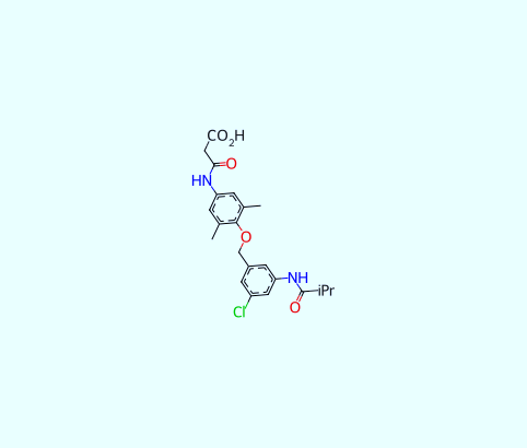 Cc1cc(NC(=O)CC(=O)O)cc(C)c1OCc1cc(Cl)cc(NC(=O)C(C)C)c1